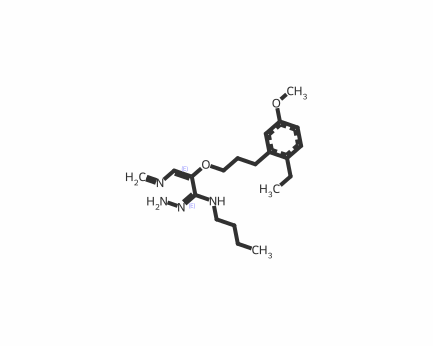 C=N/C=C(OCCCc1cc(OC)ccc1CC)\C(=N/N)NCCCC